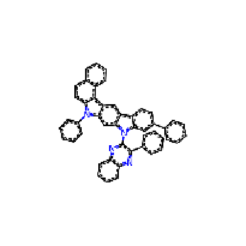 c1ccc(-c2ccc3c4cc5c6c7ccccc7ccc6n(-c6ccccc6)c5cc4n(-c4nc5ccccc5nc4-c4ccccc4)c3c2)cc1